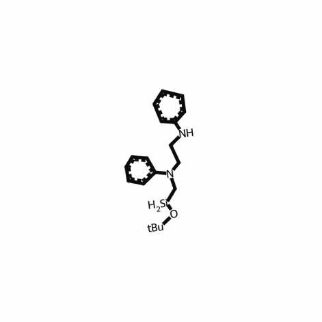 CC(C)(C)O[SiH2]CN(CCNc1ccccc1)c1ccccc1